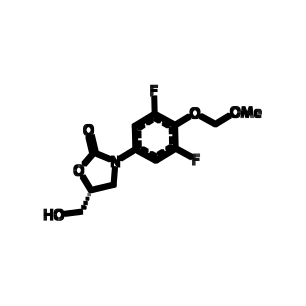 COCOc1c(F)cc(N2C[C@H](CO)OC2=O)cc1F